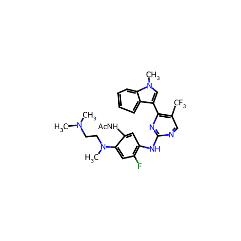 CC(=O)Nc1cc(Nc2ncc(C(F)(F)F)c(-c3cn(C)c4ccccc34)n2)c(F)cc1N(C)CCN(C)C